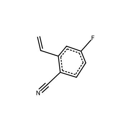 C=Cc1cc(F)ccc1C#N